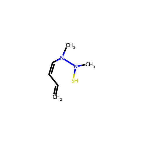 C=C/C=C\N(C)N(C)S